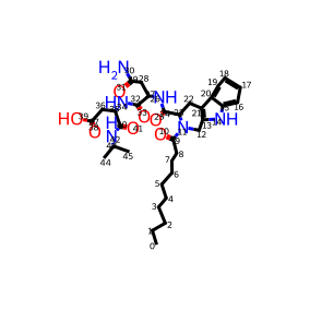 CCCCCCCCCC(=O)N1Cc2[nH]c3ccccc3c2CC1C(=O)NC(CC(N)=O)C(=O)NC(CC(=O)O)C(=O)NC(C)C